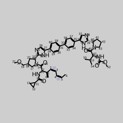 C=C(/C=C\C=C/C)[C@@H](NC(=O)C1CC1)C(=O)N1C[C@@H](COC)C[C@H]1c1ncc(-c2ccc(-c3ccc(-c4cnc([C@@H]5CCCN5C(=O)[C@@H](NC(=O)OC)C(C)C)[nH]4)cc3)cc2)[nH]1